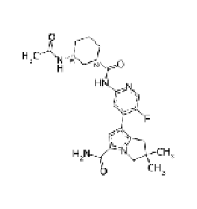 CC(=O)N[C@@H]1CCC[C@H](C(=O)Nc2cc(-c3cc(C(N)=O)n4c3CC(C)(C)C4)c(F)cn2)C1